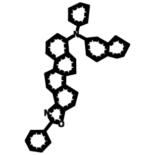 c1ccc(-c2nc3c(ccc4c5ccc6c(N(c7ccccc7)c7ccc8ccccc8c7)cccc6c5ccc43)o2)cc1